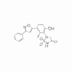 O=C1CN(c2c(O)ccc(-c3cc(-c4ccccc4)no3)c2F)S(=O)(=O)N1